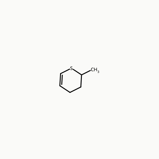 CC1CCC=CS1